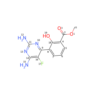 COC(=O)c1cccc(-c2nc(N)nc(N)c2F)c1O